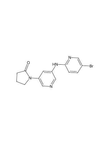 O=C1CCCN1c1cncc(Nc2ccc(Br)cn2)c1